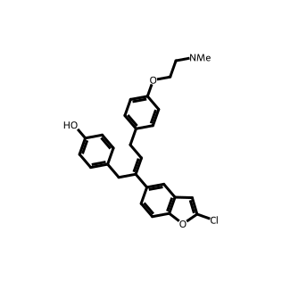 CNCCOc1ccc(CC=C(Cc2ccc(O)cc2)c2ccc3oc(Cl)cc3c2)cc1